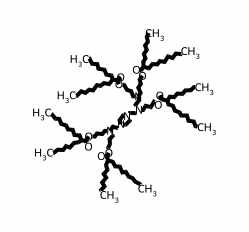 CCCCCCCCCCC(CCCCCCCC)C(=O)OCCCCN(CCCCOC(=O)C(CCCCCCCC)CCCCCCCCCC)CCN(CCCCOC(=O)C(CCCCCCCC)CCCCCCCCCC)CCN1CCN(CCN(CCCCOC(=O)C(CCCCCCCC)CCCCCCCCCC)CCCCOC(=O)C(CCCCCCCC)CCCCCCCCCC)CC1